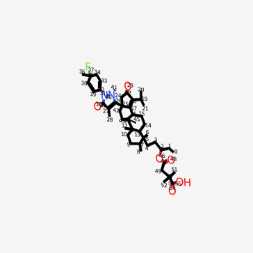 CCC(CCC1(C)C(C)CCC2(C)C1CCC1C3=C(C(C)C)C(=O)CC3(c3c(C)c(=O)n(C4=CCC(C)(F)C=C4)n3C)CC[C@]12C)OC(=O)CC(C)(C)C(=O)O